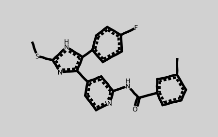 CSc1nc(-c2ccnc(NC(=O)c3cccc(C)c3)c2)c(-c2ccc(F)cc2)[nH]1